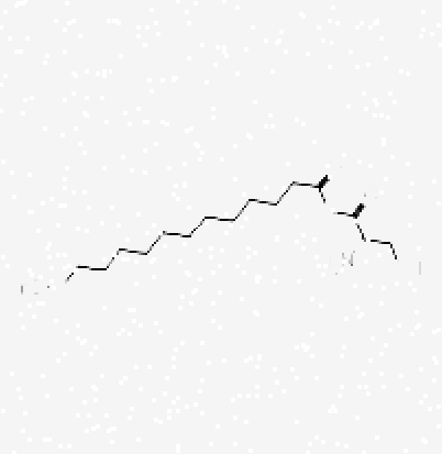 CCCCCCCCCCCCCCCCCCCCCC(=O)OC(=O)[C@@H](N)CO